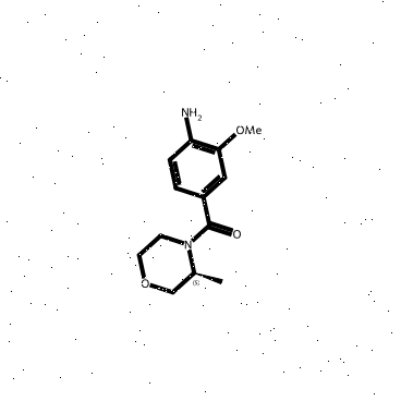 COc1cc(C(=O)N2CCOC[C@@H]2C)ccc1N